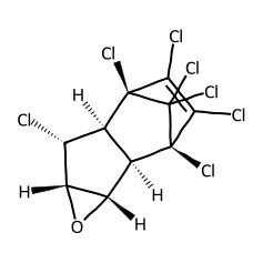 ClC1=C(Cl)[C@]2(Cl)[C@H]3[C@@H]4O[C@@H]4[C@H](Cl)[C@H]3[C@@]1(Cl)C2(Cl)Cl